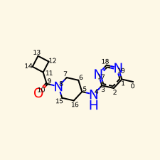 Cc1cc(NC2CCN(C(=O)C3CCC3)CC2)ncn1